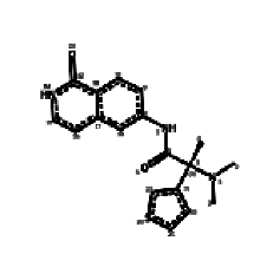 CN(C)[C@@](C)(C(=O)Nc1ccc2c(=O)[nH]ccc2c1)c1ccsc1